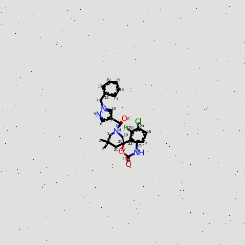 CC1(C)CN(C(=O)c2cnn(Cc3ccccc3)c2)C[C@]2(C1)OC(=O)Nc1ccc(Cl)c(F)c12